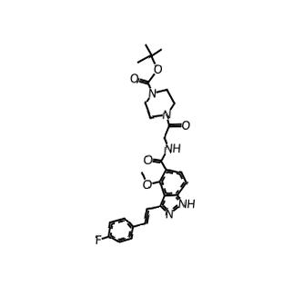 COc1c(C(=O)NCC(=O)N2CCN(C(=O)OC(C)(C)C)CC2)ccc2[nH]nc(/C=C/c3ccc(F)cc3)c12